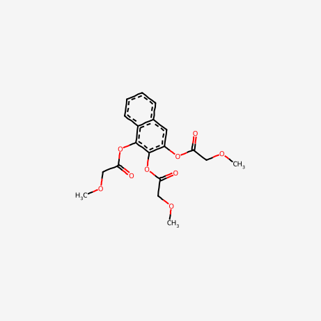 COCC(=O)Oc1cc2ccccc2c(OC(=O)COC)c1OC(=O)COC